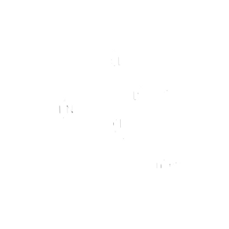 CCCCCCCCN.ClB(Cl)Cl